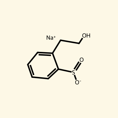 O=S([O-])c1ccccc1CCO.[Na+]